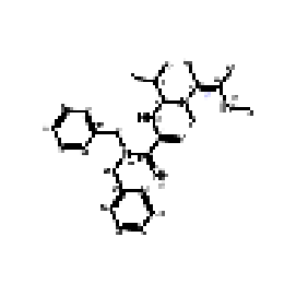 C=C(NC(C(C)C)N(C)/C(C)=C(/C)NC)C(=N)N(Cc1ccccc1)Cc1ccccc1